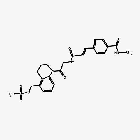 CNC(=O)c1ccc(/C=C/C(=O)NCC(=O)N2CCCc3c(COS(C)(=O)=O)cccc32)cc1